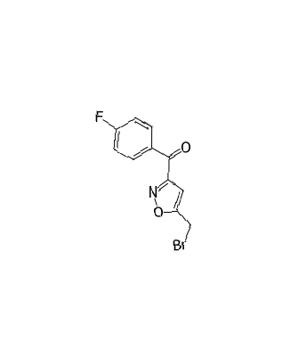 O=C(c1ccc(F)cc1)c1cc(CBr)on1